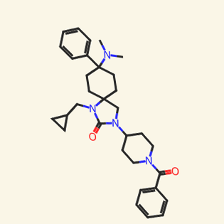 CN(C)C1(c2ccccc2)CCC2(CC1)CN(C1CCN(C(=O)c3ccccc3)CC1)C(=O)N2CC1CC1